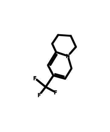 FC(F)(F)C1=CCN2CCCCC2=C1